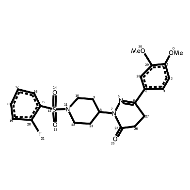 COc1ccc(C2=NN(C3CCN(S(=O)(=O)c4ccccc4F)CC3)C(=O)CC2)cc1OC